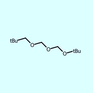 CC(C)(C)COCOCOC(C)(C)C